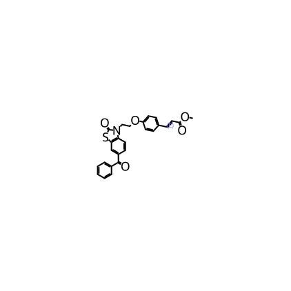 COC(=O)/C=C/c1ccc(OCCn2c(=O)sc3cc(C(=O)c4ccccc4)ccc32)cc1